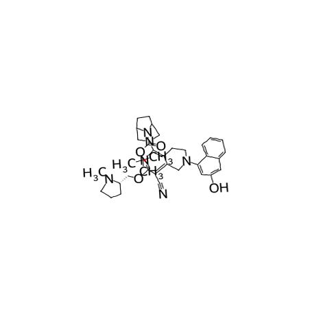 CN1CCC[C@H]1COc1nc(N2CC3CCC(C2)N3C(=O)OC(C)(C)C)c2c(c1C#N)CN(c1cc(O)cc3ccccc13)CC2